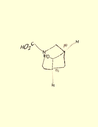 O=C(O)N1C[C@H]2C[C@@H](C1)C2O